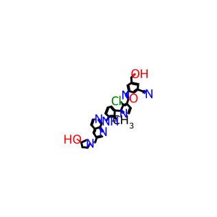 Cc1c(Nc2nccc3cc(CN4CC[C@@H](O)C4)cnc23)cccc1-c1nccc(-c2nc3cc(CO)cc(C#N)c3o2)c1Cl